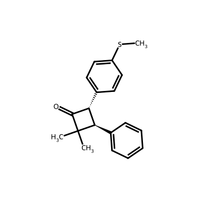 CSc1ccc([C@H]2C(=O)C(C)(C)[C@@H]2c2ccccc2)cc1